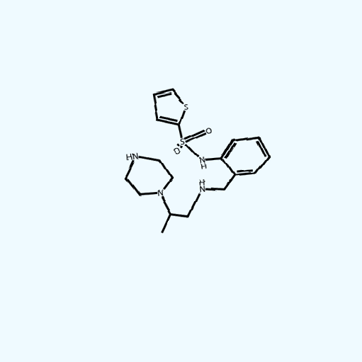 CC(CNCc1ccccc1NS(=O)(=O)c1cccs1)N1CCNCC1